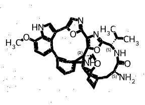 COc1ccc2c3c(c[nH]c13)-c1cnc(o1)-c1nc3oc1[C@]14c5cc(ccc5OC1Nc1c-2cccc14)C[C@H](N)C(=O)N[C@H]3C(C)C